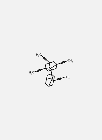 CC#CC12CC3CC(C1)CC(C14CC5(C#CC)CC(C#CC)(CC(C#CC)(C5)C1)C4)(C3)C2